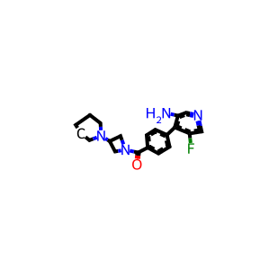 Nc1cncc(F)c1-c1ccc(C(=O)N2CC(N3CCCCC3)C2)cc1